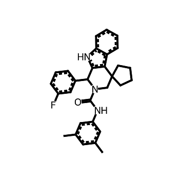 Cc1cc(C)cc(NC(=O)N2CC3(CCCC3)c3c([nH]c4ccccc34)C2c2cccc(F)c2)c1